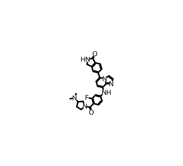 CN(C)C1CCN(C(=O)c2ccc(Nc3ccc(-c4ccc5c(c4)CNC5=O)n4ccnc34)cc2F)C1